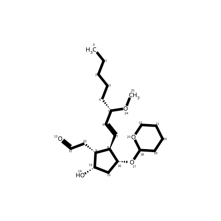 CCCCC[C@@H](C=C[C@@H]1[C@@H](CC=O)[C@@H](O)C[C@H]1OC1CCCCO1)OC